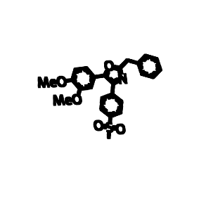 COc1ccc(-c2oc(Cc3ccccc3)nc2-c2ccc(S(C)(=O)=O)cc2)cc1OC